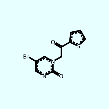 O=C(Cn1cc(Br)cnc1=O)c1cccs1